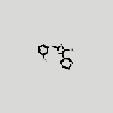 Cc1sc(Nc2cccc(C(F)(F)F)c2)nc1-c1cccnc1